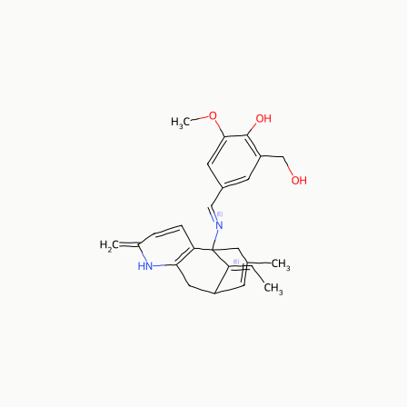 C=C1C=CC2=C(CC3C=C(C)CC2(/N=C/c2cc(CO)c(O)c(OC)c2)/C3=C/C)N1